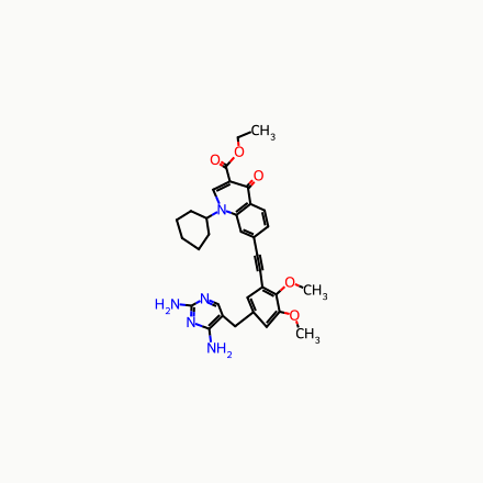 CCOC(=O)c1cn(C2CCCCC2)c2cc(C#Cc3cc(Cc4cnc(N)nc4N)cc(OC)c3OC)ccc2c1=O